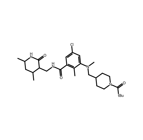 Cc1c(C(=O)NCC2C(=O)NC(C)CC2C)cc(Cl)cc1N(C)CC1CCN(C(=O)C(C)(C)C)CC1